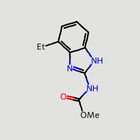 CCc1cccc2[nH]c(NC(=O)OC)nc12